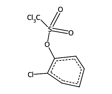 O=S(=O)(Oc1ccccc1Cl)C(Cl)(Cl)Cl